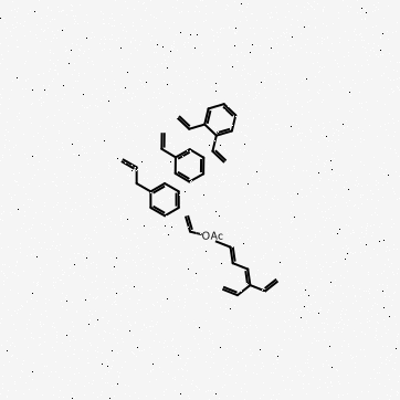 C=CC(C=C)=CC=CC.C=CCc1ccccc1.C=COC(C)=O.C=Cc1ccccc1.C=Cc1ccccc1C=C